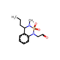 CCCC1c2ccccc2N(CC=O)S(=O)(=O)N1C